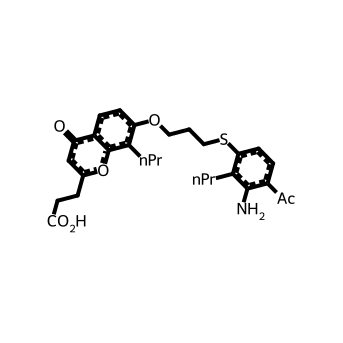 CCCc1c(SCCCOc2ccc3c(=O)cc(CCC(=O)O)oc3c2CCC)ccc(C(C)=O)c1N